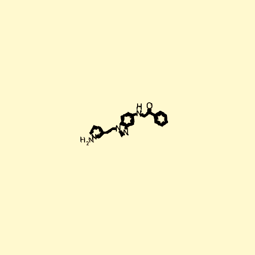 N[n+]1cccc(CCn2[c]nc3cc(NCC(=O)c4ccccc4)ccc32)c1